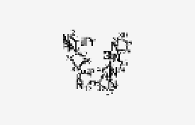 CC(C)c1cnnn1-c1ccc(-c2cncc(-c3ccnc4c3cc3n4CCN(c4ccccn4)C3=O)c2)cc1